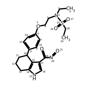 CCN(CCOc1ccc(C2CCCc3[nH]cc(C(=O)N=O)c32)cc1)S(=O)(=O)CC